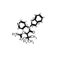 CC(C)(C)C(OC(N)=O)C(=O)N(c1ccncc1)c1cc2ccccc2s1